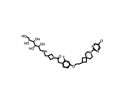 O=C(Cc1ccc(OCCC2CC3(CCN(c4ncc(Cl)cn4)CC3)C2)cc1F)N1CC(CNC[C@H](O)[C@@H](O)[C@H](O)[C@H](O)CO)C1